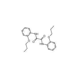 CCCOc1ccccc1NC(=O)C(=O)Nc1ccccc1OCCC